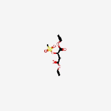 C=COC(=O)CC(OS(C)(=O)=O)C(=O)OC=C